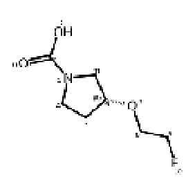 O=C(O)N1CC[C@@H](OCCF)C1